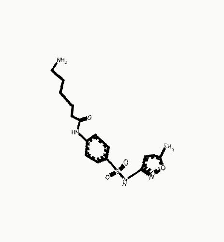 Cc1cc(NS(=O)(=O)c2ccc(NC(=O)CCCCCN)cc2)no1